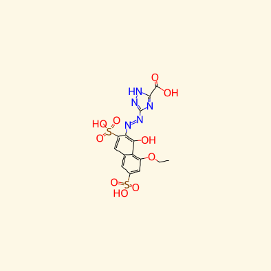 CCOc1cc(S(=O)(=O)O)cc2cc(S(=O)(=O)O)c(N=Nc3n[nH]c(C(=O)O)n3)c(O)c12